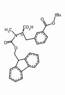 CN(C(=O)OCC1c2ccccc2-c2ccccc21)[C@H](Cc1cccc(C(=O)OC(C)(C)C)c1)C(=O)O